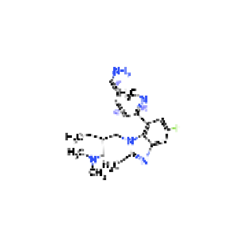 CCC(CN(C)C)Cn1c(C)nc2cc(F)cc(C(/C=C\C=C\N)=N/C)c21